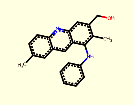 Cc1ccc2nc3cc(CO)c(C)c(Nc4ccccc4)c3cc2c1